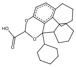 O=C(O)C1Oc2ccc3c(c2C(C2CCCCC2)(C2CCCCC2)O1)CCCC3